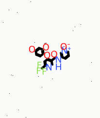 COc1ccc(Oc2cc(C(F)(F)F)ncc2C(=O)Nc2ccc[n+]([O-])c2)c(OC)c1